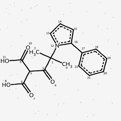 CC(C)(C(=O)C(C(=O)O)C(=O)O)n1cccc1-c1ccccc1